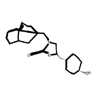 O=C1OC([C@H]2CC[C@@H](O)CC2)CN1CC12CC=C3C(CC3C1)C2